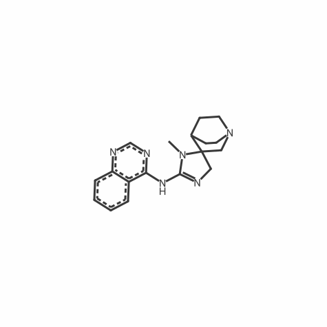 CN1C(Nc2ncnc3ccccc23)=NCC12CN1CCC2CC1